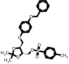 Cc1ccc(S(=O)(=O)OC[C@@H]2OC(C)(C)O[C@H]2COc2ccc(OCc3ccccc3)cc2)cc1